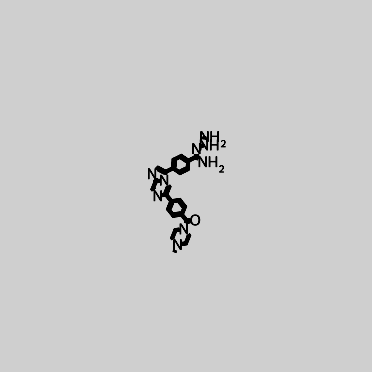 CN1CCN(C(=O)c2ccc(-c3cn4c(-c5ccc(/C(N)=N/NN)cc5)cnc4cn3)cc2)CC1